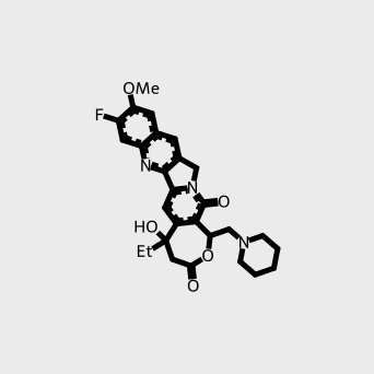 CCC1(O)CC(=O)OC(CN2CCCCC2)c2c1cc1n(c2=O)Cc2cc3cc(OC)c(F)cc3nc2-1